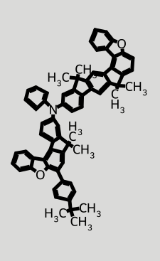 CC(C)(C)c1ccc(-c2cc3c(c4c2oc2ccccc24)-c2ccc(N(c4ccccc4)c4ccc5c(c4)C(C)(C)c4cc6c(cc4-5)C(C)(C)c4ccc5oc7ccccc7c5c4-6)cc2C3(C)C)cc1